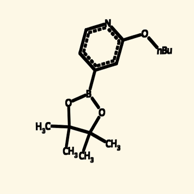 CCCCOc1cc(B2OC(C)(C)C(C)(C)O2)ccn1